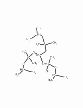 C[SiH](C)O[Si](C)(C)O[SiH](O[Si](C)(C)O[SiH](C)C)O[Si](C)(C)O[SiH](C)C